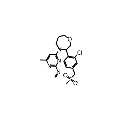 C=Nc1nc(C)cc(N2CCCOCC2c2ccc(CS(C)(=O)=O)cc2Cl)n1